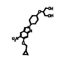 O=[N+]([O-])c1cc2cn(C3CCC(OC(CO)CO)CC3)nc2cc1OCC1CC1